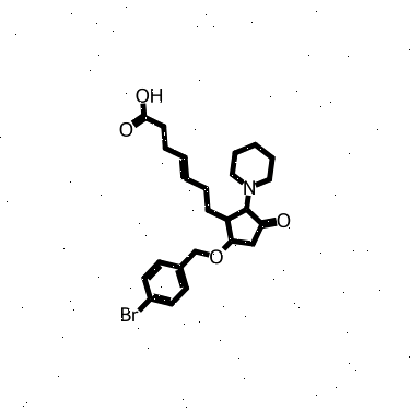 O=C(O)CC/C=C/CCC1C(OCc2ccc(Br)cc2)CC(=O)C1N1CCCCC1